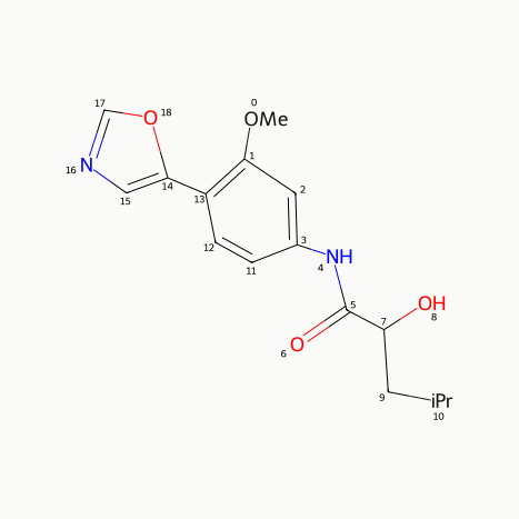 COc1cc(NC(=O)C(O)CC(C)C)ccc1-c1cnco1